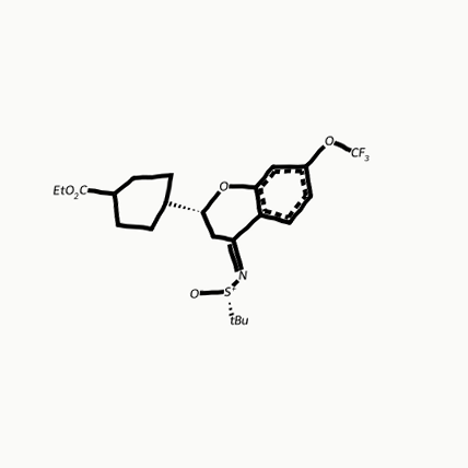 CCOC(=O)C1CCC([C@H]2C/C(=N\[S@@+]([O-])C(C)(C)C)c3ccc(OC(F)(F)F)cc3O2)CC1